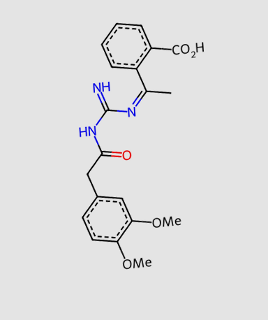 COc1ccc(CC(=O)NC(=N)N=C(C)c2ccccc2C(=O)O)cc1OC